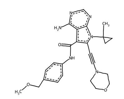 COCc1ccc(NC(=O)c2c(C#CN3CCOCC3)n(C3(C)CC3)c3ncnc(N)c23)cc1